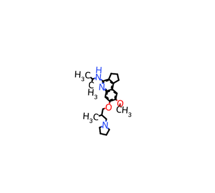 COc1cc2c3c(c(NC(C)C)nc2cc1OCC(C)CN1CCCC1)CCC3